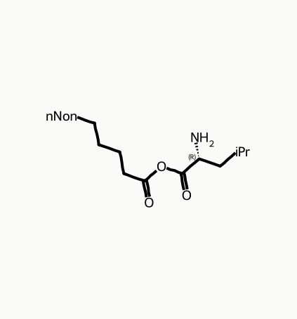 CCCCCCCCCCCCCC(=O)OC(=O)[C@H](N)CC(C)C